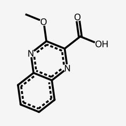 COc1nc2ccccc2nc1C(=O)O